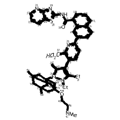 CCC1=C(c2ccc(-c3ccc4cccc(C(=O)Nc5nc6ncccc6s5)c4c3)nc2C(=O)O)C(C)N(C23CC4(C)CC(C)(CC(OCCNC)(C4)C2)C3)N1CC